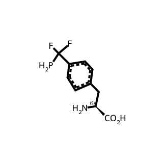 N[C@@H](Cc1ccc(C(F)(F)P)cc1)C(=O)O